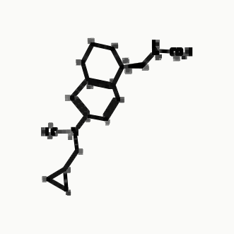 CN(CC1CC1)c1ccc2c(c1)CCC[C@H]2CNC(=O)O